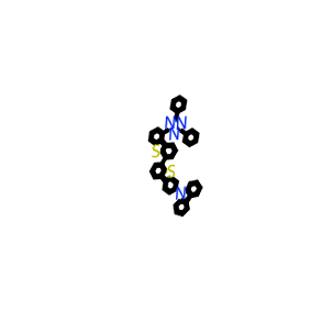 c1ccc(-c2nc(-c3ccccc3)nc(-c3cccc4sc5c(-c6cccc7c6sc6cc(-n8c9ccccc9c9ccccc98)ccc67)cccc5c34)n2)cc1